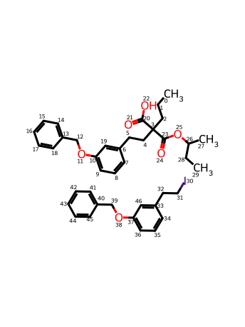 CCCC(CCc1cccc(OCc2ccccc2)c1)(C(=O)O)C(=O)OC(C)CC.ICCc1cccc(OCc2ccccc2)c1